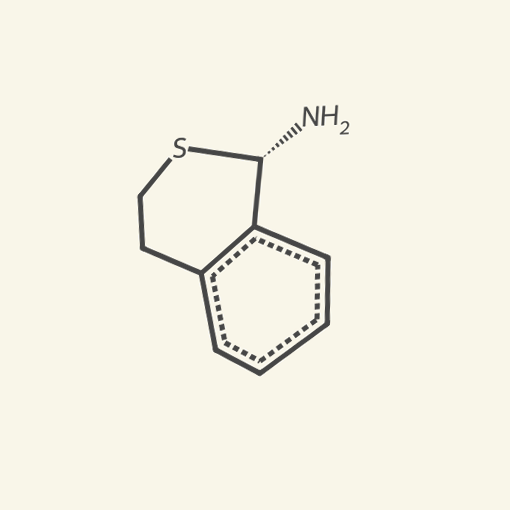 N[C@H]1SCCc2ccccc21